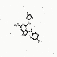 CC(c1ncc(F)cn1)c1c[nH]c2nc(N)nc(Nc3cn(C)cn3)c12